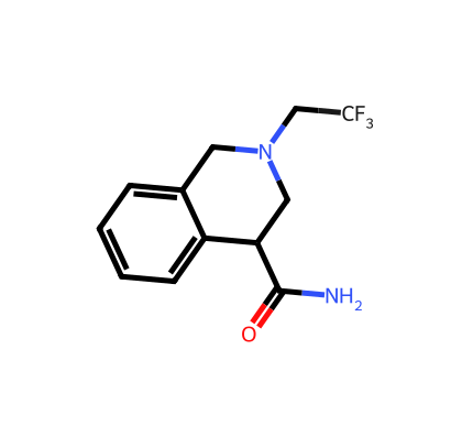 NC(=O)C1CN(CC(F)(F)F)Cc2ccccc21